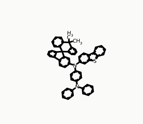 CC1(C)c2ccccc2C2(c3ccccc3-c3ccc(N(c4ccc(N(c5ccccc5)c5ccccc5)cc4)c4ccc5c(c4)sc4ccccc45)cc32)c2ccccc21